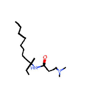 CCCCCCCC(C)(CC)NC(=O)CCN(C)C